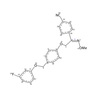 CO/N=C(\COc1ccc(COc2[c]c(F)ccc2)cc1)c1ccc(C#N)cc1